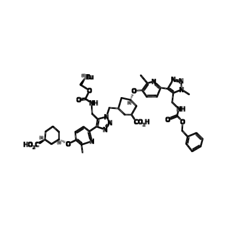 CC[C@H](C)COC(=O)NCc1c(-c2ccc(O[C@H]3CCC[C@H](C(=O)O)C3)c(C)n2)nnn1CC1CC(C(=O)O)C[C@@H](Oc2ccc(-c3nnn(C)c3CNC(=O)OCc3ccccc3)nc2C)C1